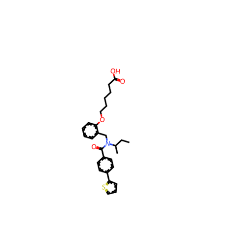 CCC(C)N(Cc1ccccc1OCCCCCC(=O)O)C(=O)c1ccc(-c2cccs2)cc1